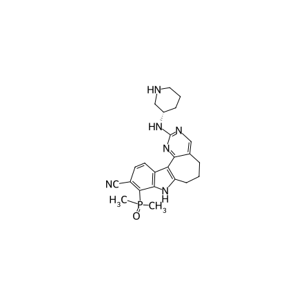 CP(C)(=O)c1c(C#N)ccc2c3c([nH]c12)CCCc1cnc(N[C@H]2CCCNC2)nc1-3